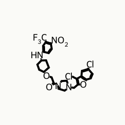 O=C(CO[C@H]1CC[C@H](Nc2ccc([N+](=O)[O-])c(C(F)(F)F)c2)CC1)N1CCN(Cc2oc3ccc(Cl)cc3c2Cl)CC1